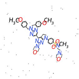 COc1ccc(CN(Cc2ccc(OC)cc2)c2ncc(-c3nc(N4CCOCC4)nc4c3CCN4c3ccc(S(=O)(=O)N(C)CCN4CCOCC4)cc3)cn2)cc1